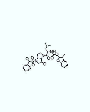 Cc1c(OC(=O)NC(CC(C)C)C(=O)N2CCC3C2C(=O)CN3S(=O)(=O)C(=O)c2ccccn2)oc2ccccc12